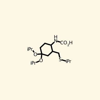 CC(C)OC1(OC(C)C)CCC(NC(=O)O)C(CSC(C)C)C1